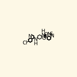 O=S(=O)(N[C@H]1CC[C@@H](Nc2ccnc3cc(Cl)ccc23)CC1)c1cccc2nsnc12